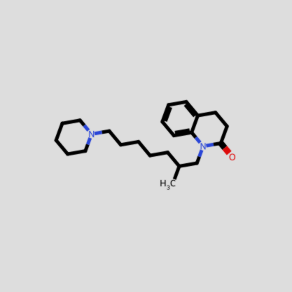 CC(CCCCCN1CCCCC1)CN1C(=O)CCc2ccccc21